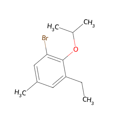 CCc1cc(C)cc(Br)c1OC(C)C